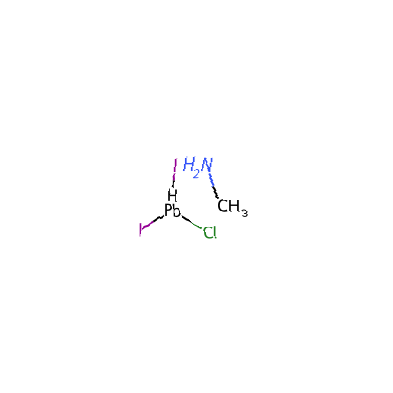 CN.[Cl][PbH]([I])[I]